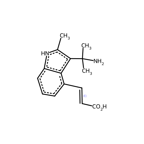 Cc1[nH]c2cccc(/C=C/C(=O)O)c2c1C(C)(C)N